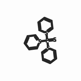 S=P(S1=CC=CC=C1)(S1=CC=CC=C1)S1=CC=CC=C1